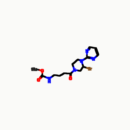 CC(C)(C)OC(=O)NCCCC(=O)N1CCN(c2ncccn2)C(Br)C1